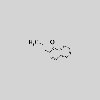 CCCc1ccc2ccccc2c1[O]